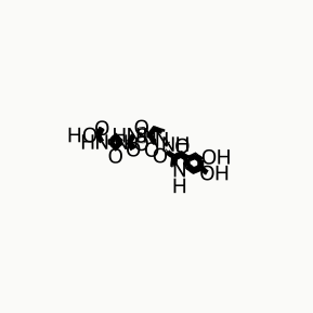 O=C(O)NC1CN(C(=O)NS(=O)(=O)N2CCN(NC(=O)c3c[nH]c4cc(O)c(O)cc4c3=O)C2=O)C1=O